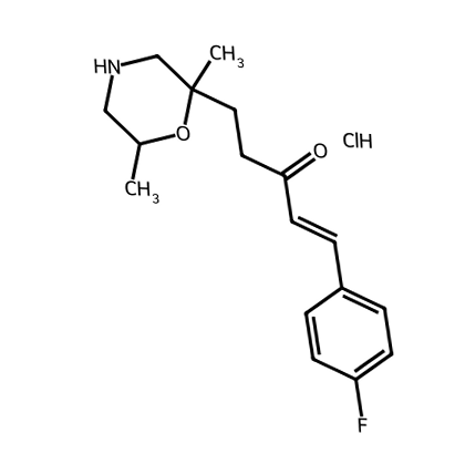 CC1CNCC(C)(CCC(=O)/C=C/c2ccc(F)cc2)O1.Cl